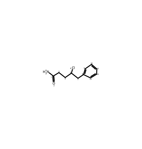 NC(=O)CCC(Cl)Cc1ccccc1